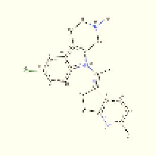 C/C(=C1/CCc2nc(C)ccc21)n1c2c(c3cc(Cl)ccc31)CCN(C)C2